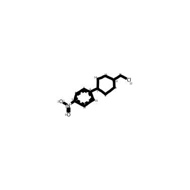 O=[N+]([O-])c1ccc(C2CCC(CCl)CC2)cc1